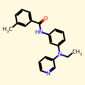 CCN(c1cccnc1)c1cccc(NC(=O)c2cccc(C)c2)c1